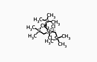 C[Si](C)(C)[CH2][Sb-2]([Cl])([Cl])([CH2][Si](C)(C)C)[CH2][Si](C)(C)C